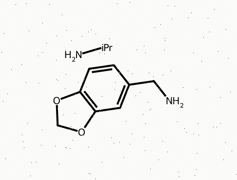 CC(C)N.NCc1ccc2c(c1)OCO2